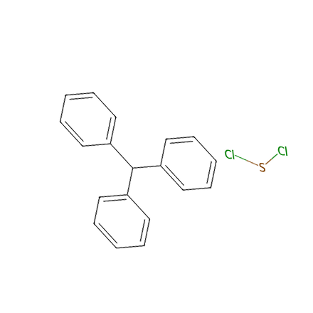 ClSCl.c1ccc(C(c2ccccc2)c2ccccc2)cc1